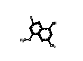 COc1cc(F)cc2c(O)cc(C)nc12